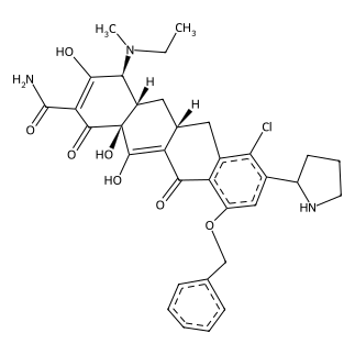 CCN(C)[C@@H]1C(O)=C(C(N)=O)C(=O)[C@@]2(O)C(O)=C3C(=O)c4c(OCc5ccccc5)cc(C5CCCN5)c(Cl)c4C[C@H]3C[C@@H]12